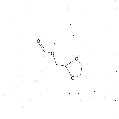 O=COCC1OCCO1